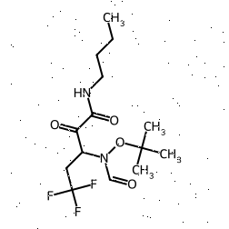 CCCCNC(=O)C(=O)C(CC(F)(F)F)N(C=O)OC(C)(C)C